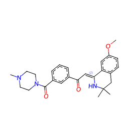 COc1ccc2c(c1)/C(=C/C(=O)c1cccc(C(=O)N3CCN(C)CC3)c1)NC(C)(C)C2